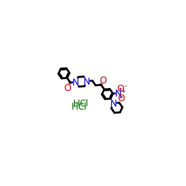 Cl.Cl.O=C(CCN1CCN(C(=O)c2ccccc2)CC1)c1ccc(N2CCCCC2)c([N+](=O)[O-])c1